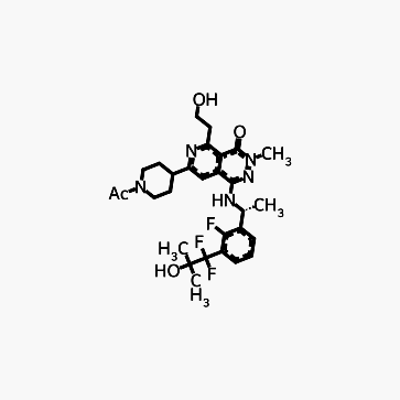 CC(=O)N1CCC(c2cc3c(N[C@H](C)c4cccc(C(F)(F)C(C)(C)O)c4F)nn(C)c(=O)c3c(CCO)n2)CC1